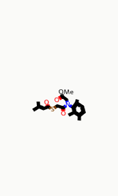 COC(=O)CN(C(=O)CSC(=O)C=C(C)C)c1c(C)ccc(C)c1C